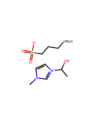 CC(O)[n+]1ccn(C)c1.CCCCCCCCCCCCS(=O)(=O)[O-]